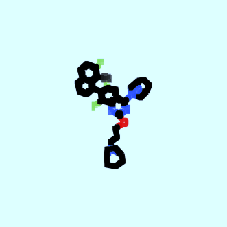 CCc1c(F)ccc2cccc(-c3c(F)cc4c(N5CC6CCC(C5)N6)nc(OCCCN5C6CCCC5CC6)nc4c3F)c12